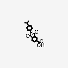 CC(C)c1ccc(N2C(=O)c3ccc(C(=O)O)cc3C2=O)cc1